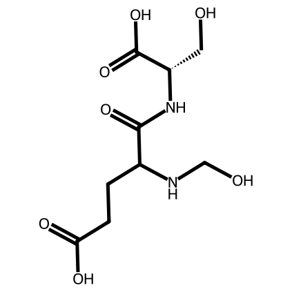 O=C(O)CCC(NCO)C(=O)N[C@@H](CO)C(=O)O